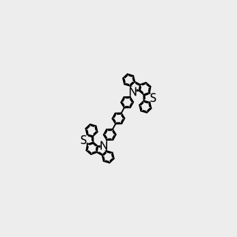 c1ccc2c(c1)sc1ccc3c4ccccc4n(-c4ccc(-c5ccc(-c6ccc(-n7c8ccccc8c8ccc9sc%10ccccc%10c9c87)cc6)cc5)cc4)c3c12